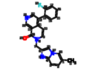 Cc1ccc2nc(Cn3ccc4c(-c5ccccc5F)cncc4c3=O)cn2c1